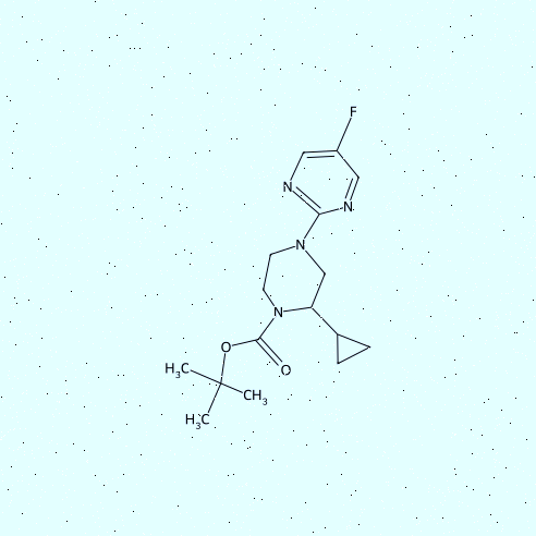 CC(C)(C)OC(=O)N1CCN(c2ncc(F)cn2)CC1C1CC1